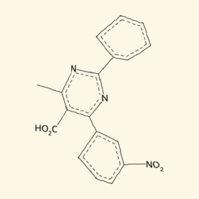 Cc1nc(-c2ccccc2)nc(-c2cccc([N+](=O)[O-])c2)c1C(=O)O